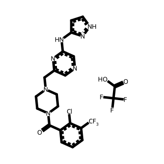 O=C(O)C(F)(F)F.O=C(c1cccc(C(F)(F)F)c1Cl)N1CCN(Cc2cncc(Nc3cc[nH]n3)n2)CC1